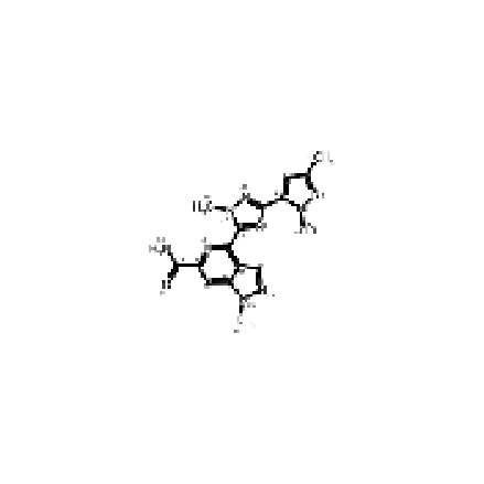 CCCn1nc(C)cc1-c1nc(-c2nc(C(N)=O)cc3c2cnn3C)n(C)n1